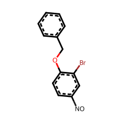 O=Nc1ccc(OCc2ccccc2)c(Br)c1